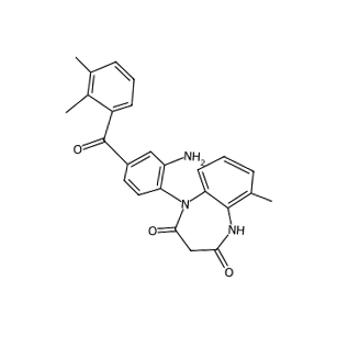 Cc1cccc(C(=O)c2ccc(N3C(=O)CC(=O)Nc4c(C)cccc43)c(N)c2)c1C